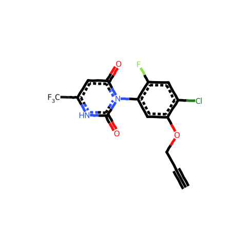 C#CCOc1cc(-n2c(=O)cc(C(F)(F)F)[nH]c2=O)c(F)cc1Cl